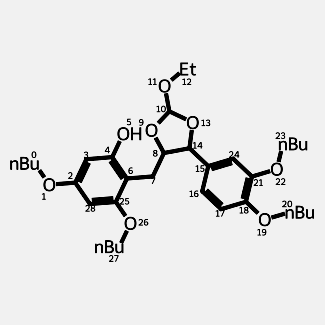 CCCCOc1cc(O)c(CC2OC(OCC)OC2c2ccc(OCCCC)c(OCCCC)c2)c(OCCCC)c1